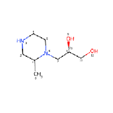 CC1CNCCN1C[C@@H](O)CO